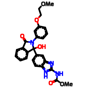 COCCOc1cccc(N2C(=O)c3ccccc3C2(O)c2ccc3[nH]c(NC(=O)OC)nc3c2)c1